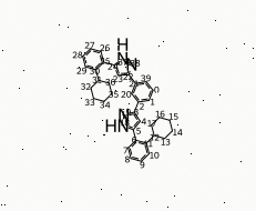 c1cc(-c2cc(-c3ccccc3C3CCCCC3)[nH]n2)cc(-c2cc(-c3ccccc3C3CCCCC3)[nH]n2)c1